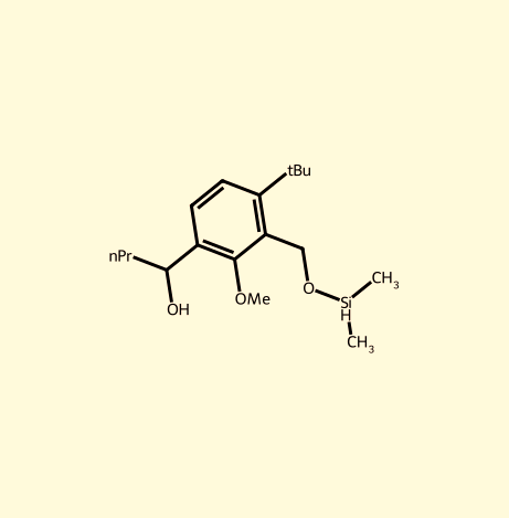 CCCC(O)c1ccc(C(C)(C)C)c(CO[SiH](C)C)c1OC